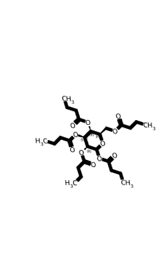 CCCC(=O)OC[C@H]1OC(OC(=O)CCC)[C@H](OC(=O)CCC)[C@@H](OC(=O)CCC)[C@@H]1OC(=O)CCC